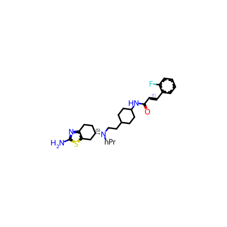 CCCN(CCC1CCC(NC(=O)/C=C/c2ccccc2F)CC1)[C@H]1CCc2nc(N)sc2C1